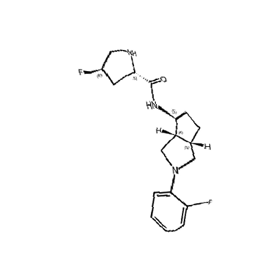 O=C(N[C@H]1CC[C@@H]2CN(c3ccccc3F)C[C@@H]21)[C@@H]1C[C@@H](F)CN1